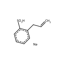 C=CCc1ccccc1S(=O)(=O)O.[Na]